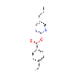 CCCc1cnc(OC(=O)c2ccc(CC)cc2)nc1